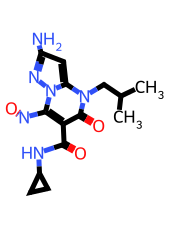 CC(C)Cn1c(=O)c(C(=O)NC2CC2)c(N=O)n2nc(N)cc12